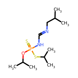 CC(C)CN=CNP(=S)(OC(C)C)SC(C)C